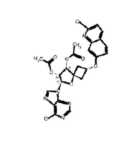 CC(=O)O[C@H]1[C@H](n2cnc3c(Cl)ncnc32)O[C@]2(C[C@@H](Oc3ccc4ccc(Cl)nc4c3)C2)[C@H]1OC(C)=O